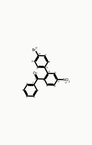 O=C(c1ccccc1)c1ccc([N+](=O)[O-])cc1-c1ccc(Br)cc1